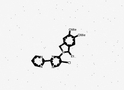 CCC1c2cc(OC)c(OC)cc2CN1c1nc(-c2ncccn2)ncc1Cl